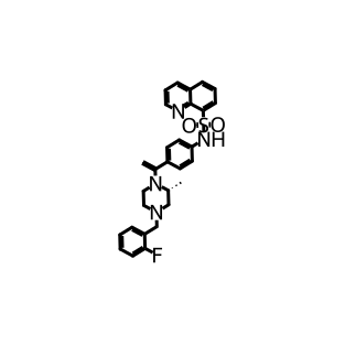 C=C(c1ccc(NS(=O)(=O)c2cccc3cccnc23)cc1)N1CCN(Cc2ccccc2F)C[C@H]1C